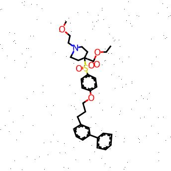 CCOC(=O)C1(S(=O)(=O)c2ccc(OCCCc3cccc(-c4ccccc4)c3)cc2)CCN(CCOC)CC1